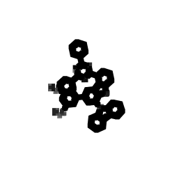 Cc1cc(C)cc(-c2cc(-n3c4ccccc4c4ccccc43)c3oc4cccc(-c5nc(-c6ccccc6)nc(-c6ccccc6)n5)c4c3c2)c1